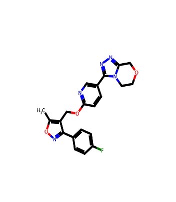 Cc1onc(-c2ccc(F)cc2)c1COc1ccc(-c2nnc3n2CCOC3)cn1